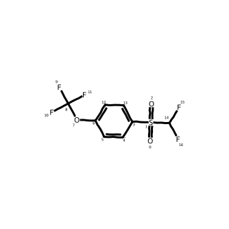 O=S(=O)(c1[c]cc(OC(F)(F)F)cc1)C(F)F